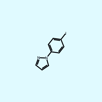 Ic1ccc(-n2cccn2)cc1